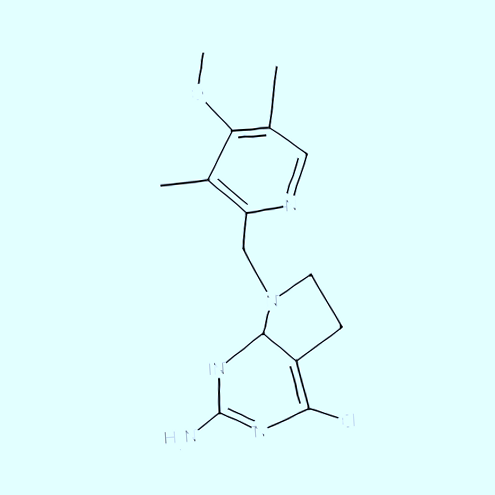 COc1c(C)cnc(CN2CCC3=C(Cl)N=C(N)NC32)c1C